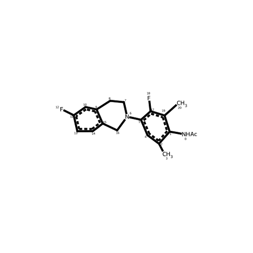 CC(=O)Nc1c(C)cc(N2CCc3cc(F)ccc3C2)c(F)c1C